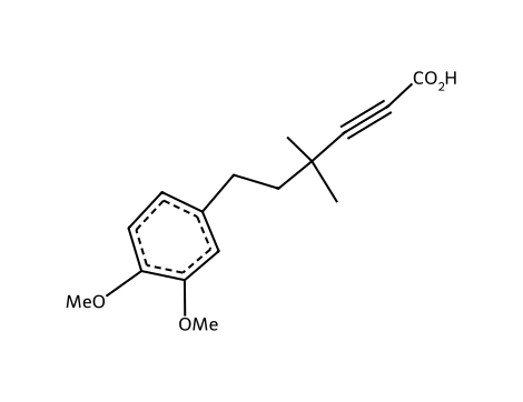 COc1ccc(CCC(C)(C)C#CC(=O)O)cc1OC